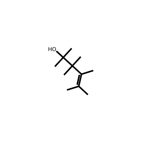 CC(C)=C(C)C(C)(C)C(C)(C)O